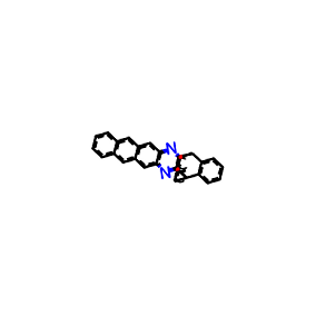 c1ccc2c(c1)C1c3cccc4c3C24c2nc3cc4cc5ccccc5cc4cc3nc21